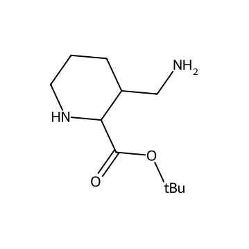 CC(C)(C)OC(=O)C1NCCCC1CN